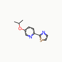 CC(C)Oc1ccc(-c2nccs2)nc1